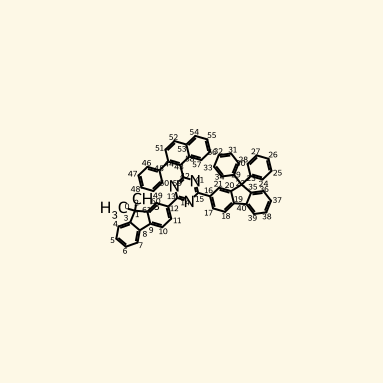 CC1(C)c2ccccc2-c2ccc(-c3nc(-c4ccc5c(c4)C(c4ccccc4)(c4ccccc4)c4ccccc4-5)nc(-c4c(-c5ccccc5)ccc5ccccc45)n3)cc21